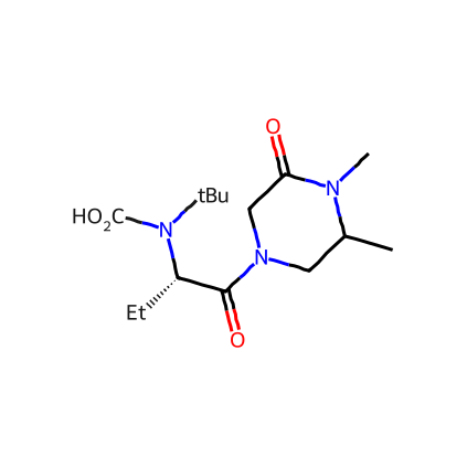 CC[C@@H](C(=O)N1CC(=O)N(C)C(C)C1)N(C(=O)O)C(C)(C)C